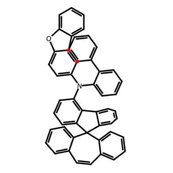 C1=Cc2ccccc2C2(c3ccccc31)c1ccccc1-c1c(N(c3ccc4oc5ccccc5c4c3)c3ccccc3-c3ccccc3)cccc12